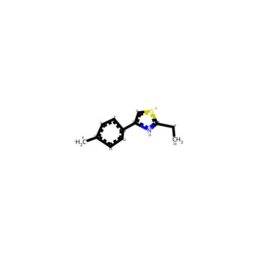 [CH2]c1ccc(-c2csc(CC)n2)cc1